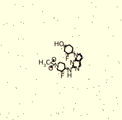 CS(=O)(=O)N1CC[C@@H](Nc2ncc3ccn([C@H]4CC[C@@H](O)C[C@@H]4F)c3n2)[C@H](F)C1